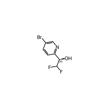 O[C@H](c1ccc(Br)cn1)C(F)F